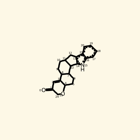 O=C1C=C2C(CCC3C2CCC2Cc4c([nH]c5ccccc45)C23)OC1